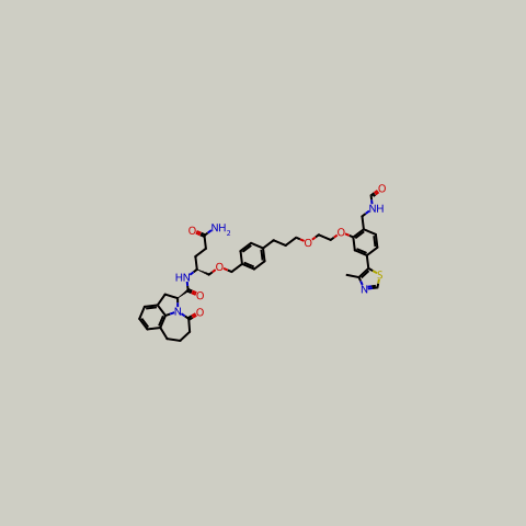 Cc1ncsc1-c1ccc(CNC=O)c(OCCOCCCc2ccc(COC[C@H](CCC(N)=O)NC(=O)[C@@H]3Cc4cccc5c4N3C(=O)CCC5)cc2)c1